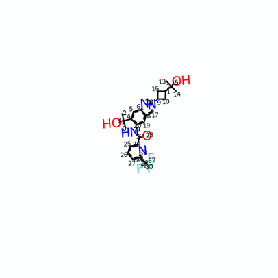 CC(C)(O)c1cc2nn(C3CC(C(C)(C)O)C3)cc2cc1NC(=O)c1cccc(C(F)(F)F)n1